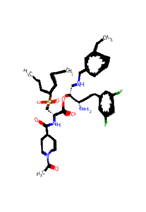 CCCC(CCC)S(=O)(=O)C[C@@H](NC(=O)C1CCN(C(C)=O)CC1)C(=O)O[C@H](CNCc1cccc(CC)c1)[C@@H](N)Cc1cc(F)cc(F)c1